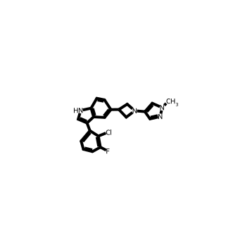 Cn1cc(N2CC(c3ccc4[nH]cc(-c5cccc(F)c5Cl)c4c3)C2)cn1